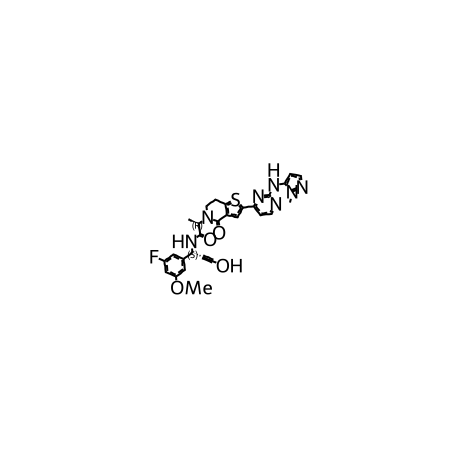 COc1cc(F)cc([C@@H](C#CO)NC(=O)[C@@H](C)N2CCc3sc(-c4ccnc(Nc5ccnn5C)n4)cc3C2=O)c1